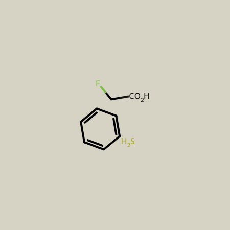 O=C(O)CF.S.c1ccccc1